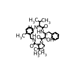 Cc1ccccc1CNC(=O)[C@H]1N(C(=O)[C@@H](O)[C@H](Cc2ccccc2)NC(=O)[C@@H](N)C(C)C)CSC1(C)C